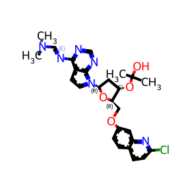 CN(C)/C=N/c1ncnc2c1ccn2[C@H]1C[C@H](OC(C)(C)O)[C@@H](COc2ccc3ccc(Cl)nc3c2)O1